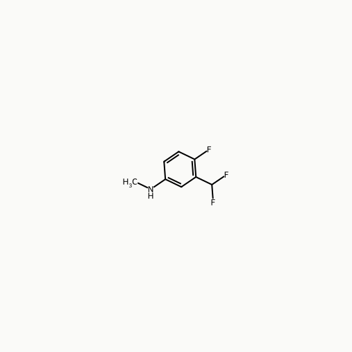 CNc1ccc(F)c(C(F)F)c1